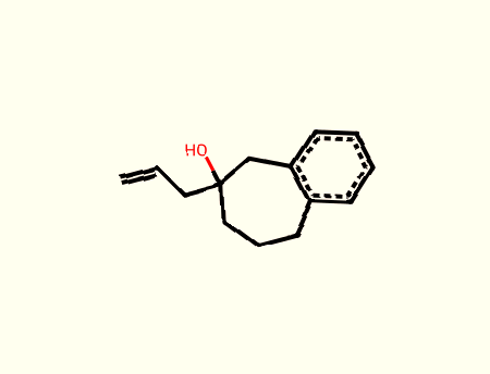 C=CCC1(O)CCCc2ccccc2C1